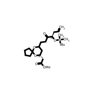 C=CC[C@@H](O[Si](C)(C)C(C)(C)C)C(=O)CCC1C[C@H](CC(=O)OC)OC2(CCCC2)O1